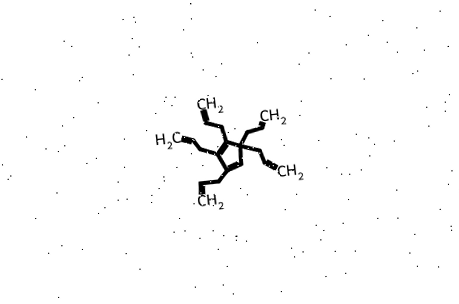 C=CCC1=CC(CC=C)(CC=C)C(CC=C)=C1CC=C